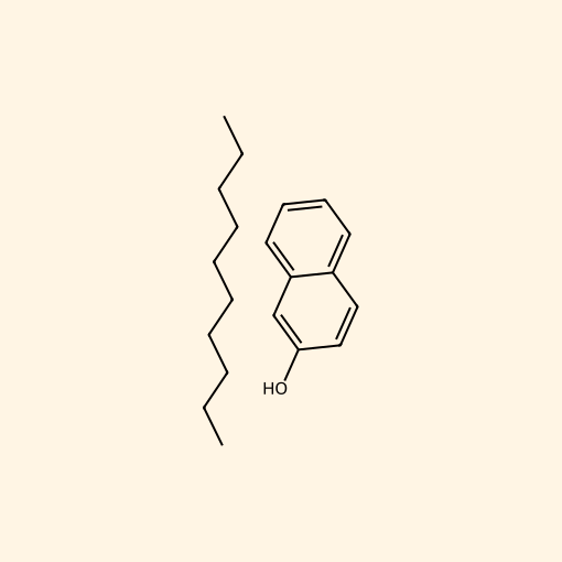 CCCCCCCCCC.Oc1ccc2ccccc2c1